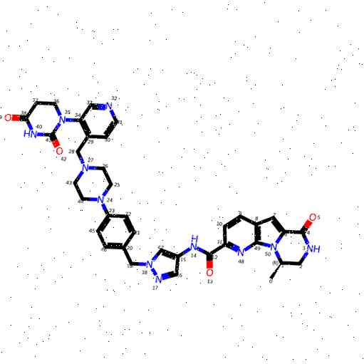 C[C@@H]1CNC(=O)c2cc3ccc(C(=O)Nc4cnn(Cc5ccc(N6CCN(Cc7ccncc7N7CCC(=O)NC7=O)CC6)cc5)c4)nc3n21